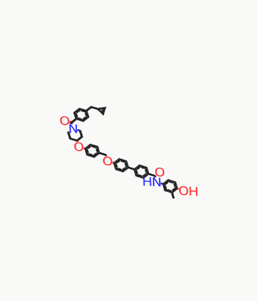 Cc1cc(NC(=O)c2ccc(-c3ccc(OCc4ccc(OC5CCN(C(=O)c6ccc(CC7C=C7)cc6)CC5)cc4)cc3)cc2)ccc1O